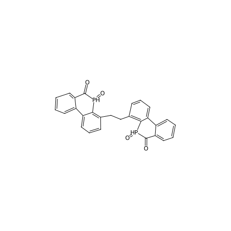 O=C1c2ccccc2-c2cccc(CCc3cccc4c3[PH](=O)C(=O)c3ccccc3-4)c2[PH]1=O